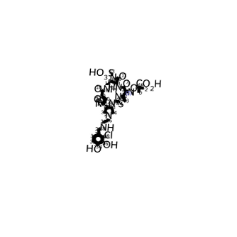 CC(C)(O/N=C(\C(=O)N[C@@H]1C(=O)N(S(=O)(=O)O)[C@@H]1CNC(=O)c1cc([C@@H]2CCN(CCNCc3ccc(O)c(O)c3Cl)C2)no1)c1csc(N)n1)C(=O)O